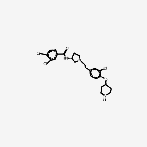 O=C(N[C@H]1CCN(CCc2ccc(OC3CCNCC3)c(Cl)c2)C1)c1ccc(Cl)c(Cl)c1